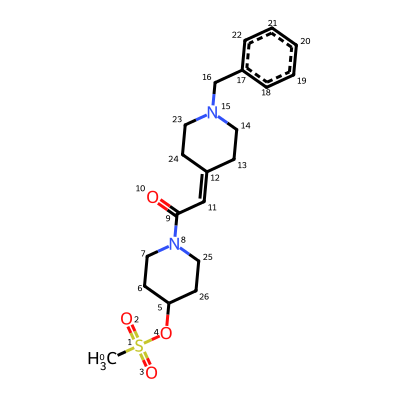 CS(=O)(=O)OC1CCN(C(=O)C=C2CCN(Cc3ccccc3)CC2)CC1